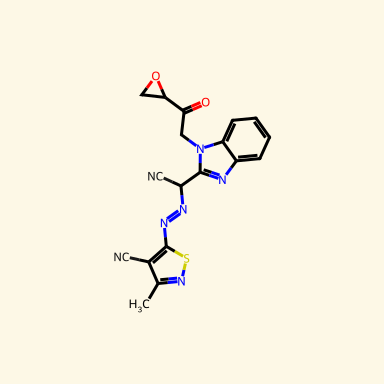 Cc1nsc(/N=N/C(C#N)c2nc3ccccc3n2CC(=O)C2CO2)c1C#N